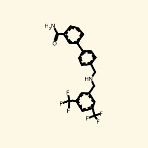 NC(=O)c1cccc(-c2ccc(CNCc3cc(C(F)(F)F)cc(C(F)(F)F)c3)cc2)c1